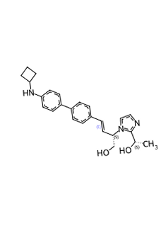 C[C@H](O)c1nccn1[C@@H](/C=C/c1ccc(-c2ccc(NC3CCC3)cc2)cc1)CO